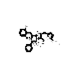 Cc1ccc(Cc2nc3c(Cc4c(F)cccc4F)nc(-c4ccccc4)cn3c2CC(=O)O)o1